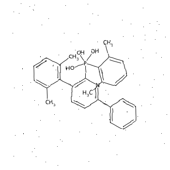 Cc1cccc(C)c1-c1ccc(-c2ccccc2)nc1P(O)(O)(O)c1c(C)cccc1C